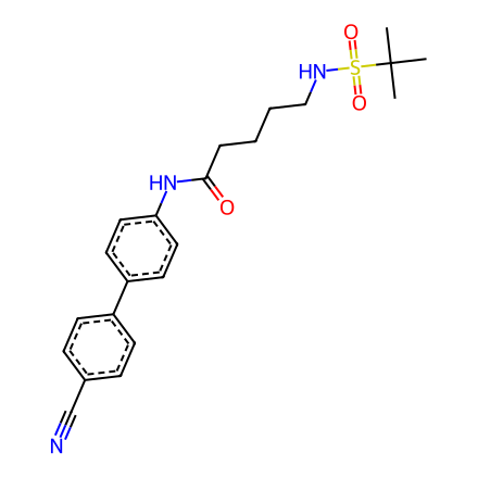 CC(C)(C)S(=O)(=O)NCCCCC(=O)Nc1ccc(-c2ccc(C#N)cc2)cc1